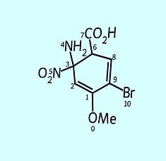 COC1=CC(N)([N+](=O)[O-])C(C(=O)O)C=C1Br